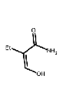 CCC(=CO)C(N)=O